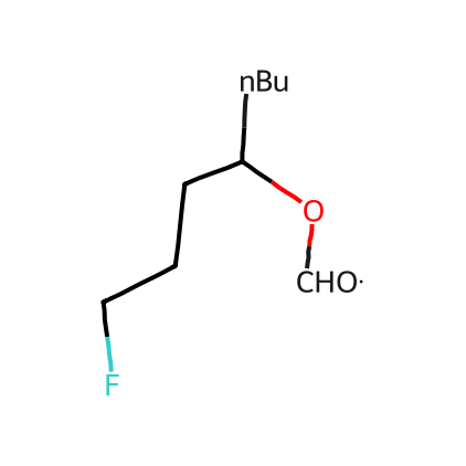 CCCCC(CCCF)O[C]=O